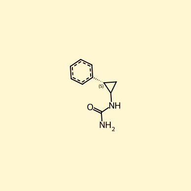 NC(=O)NC1C[C@H]1c1ccccc1